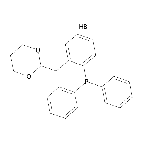 Br.c1ccc(P(c2ccccc2)c2ccccc2CC2OCCCO2)cc1